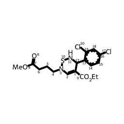 CCOC(=O)C1=CN(CCCC(=O)OC)SNC1c1ccc(Cl)cc1Cl